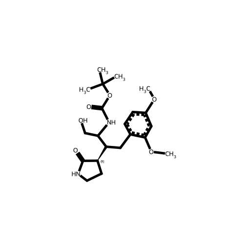 COc1ccc(CC(C(CO)NC(=O)OC(C)(C)C)[C@H]2CCNC2=O)c(OC)c1